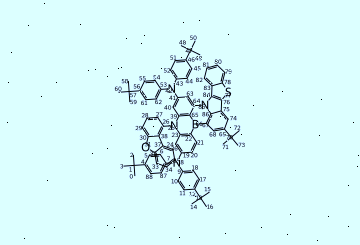 CC(C)(C)c1ccc(N(c2ccc(C(C)(C)C)cc2)c2ccc3c(c2)N(c2cccc4oc5ccccc5c24)c2cc(N(c4ccc(C(C)(C)C)cc4)c4ccc(C(C)(C)C)cc4)cc4c2B3c2cc(C(C)(C)C)cc3c5sc6ccccc6c5n-4c23)cc1